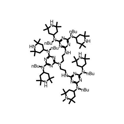 CCCCN(c1nc(NCCN(CCNc2nc(N(CCCC)C3CC(C)(C)NC(C)(C)C3)nc(N(CCCC)C3CC(C)(C)N(C)C(C)(C)C3)n2)c2nc(N(CCCC)C3CC(C)(C)NC(C)(C)C3)nc(N(CCCC)C3CC(C)(C)NC(C)(C)C3)n2)nc(N(CCCC)C2CC(C)(C)NC(C)(C)C2)n1)C1CC(C)(C)NC(C)(C)C1